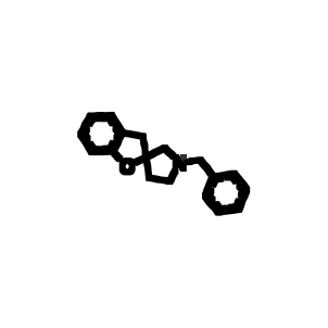 c1ccc(CN2CCC3(Cc4ccccc4O3)C2)cc1